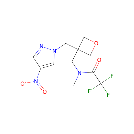 CN(CC1(Cn2cc([N+](=O)[O-])cn2)COC1)C(=O)C(F)(F)F